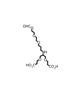 O=COCCOCCOCCCNC(COCCC(=O)O)COCCC(=O)O